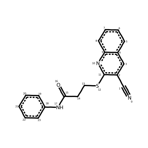 N#Cc1cc2ccccc2nc1SCCC(=O)Nc1ccccc1